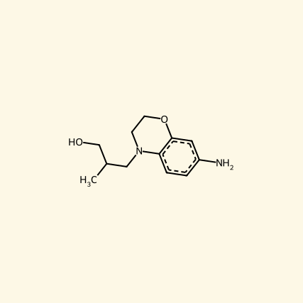 CC(CO)CN1CCOc2cc(N)ccc21